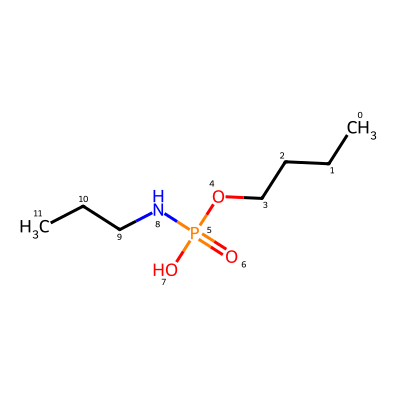 CCCCOP(=O)(O)NCCC